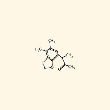 CC(=O)C(C)c1cc(C)c(C)c2c1OCO2